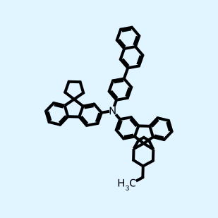 CCC1CC2CCCC(C1)C21c2ccccc2-c2cc(N(c3ccc(-c4ccc5ccccc5c4)cc3)c3ccc4c(c3)C3(CCCC3)c3ccccc3-4)ccc21